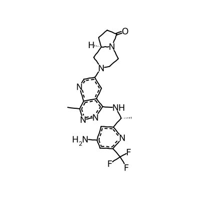 Cc1nnc(N[C@H](C)c2cc(N)cc(C(F)(F)F)n2)c2cc(N3CCN4C(=O)CC[C@@H]4C3)cnc12